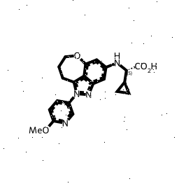 COc1ccc(-n2nc3cc(N[C@H](C(=O)O)C4CC4)cc4c3c2CCCO4)cn1